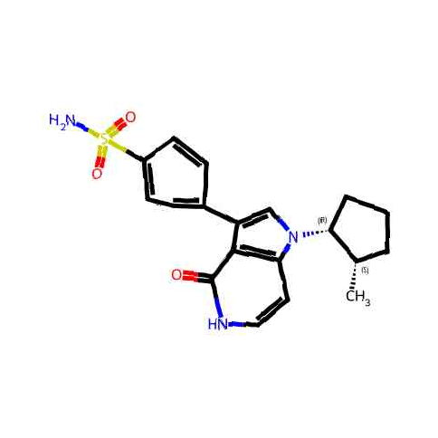 C[C@H]1CCC[C@H]1n1cc(-c2ccc(S(N)(=O)=O)cc2)c2c(=O)[nH]ccc21